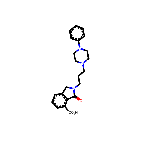 O=C(O)c1cccc2c1C(=O)N(CCCN1CCN(c3ccccc3)CC1)C2